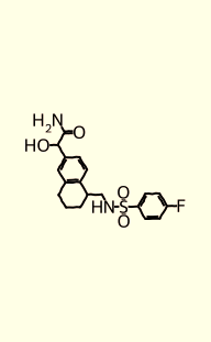 NC(=O)C(O)c1ccc2c(c1)CCCC2CNS(=O)(=O)c1ccc(F)cc1